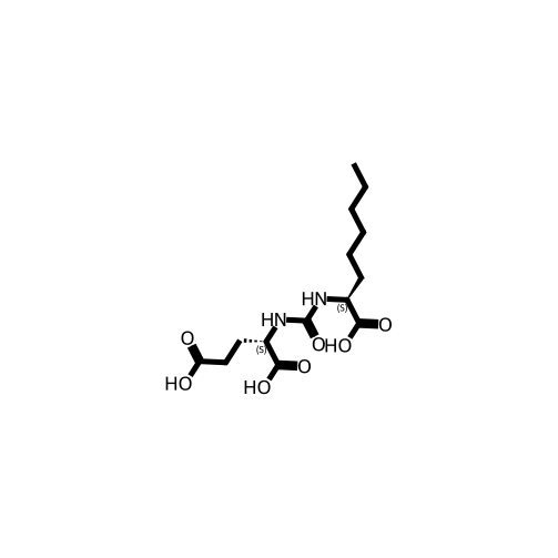 CCCCCC[C@H](NC(=O)N[C@@H](CCC(=O)O)C(=O)O)C(=O)O